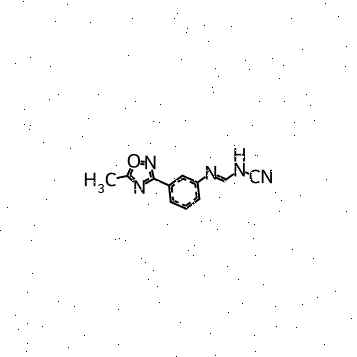 Cc1nc(-c2cccc(N=CNC#N)c2)no1